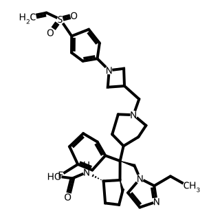 C=CS(=O)(=O)c1ccc(N2CC(CN3CCC([C@@](Cn4ccnc4CC)(c4cccc(F)c4)[C@H]4CCC[C@@H]4NC(=O)O)CC3)C2)cc1